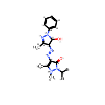 CCC(CC)n1c(=O)c(N=NC2C(C)=NN(c3ccccc3)C2O)c(C)n1C